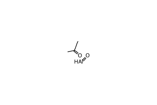 CC(C)=O.[O]=[AlH]